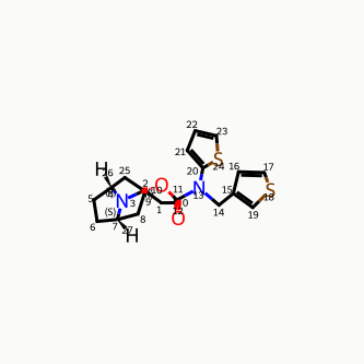 CCCN1[C@@H]2CC[C@H]1C[C@@H](OC(=O)N(Cc1ccsc1)c1cccs1)C2